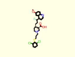 COc1ccc2nccc([C@H](F)CC[C@@H]3CCN(CCCSc4c(Cl)cccc4Cl)C[C@@H]3C(=O)O)c2c1